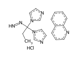 CCC(N=N)(n1ccnc1)n1ccnc1.Cl.c1ccc2ncccc2c1